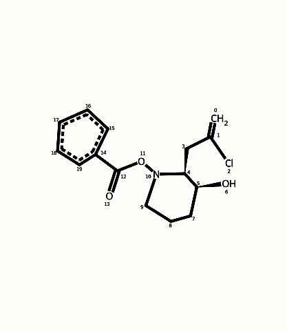 C=C(Cl)C[C@H]1[C@@H](O)CCCN1OC(=O)c1ccccc1